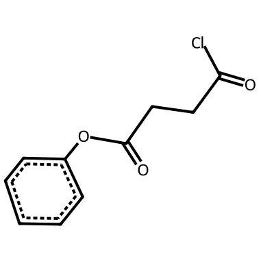 O=C(Cl)CCC(=O)Oc1ccccc1